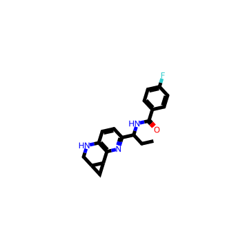 CCC(NC(=O)c1ccc(F)cc1)c1ccc2c(n1)C1CC1CN2